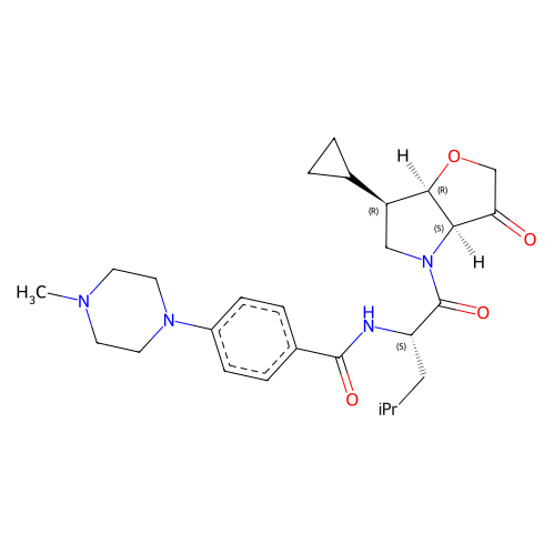 CC(C)C[C@H](NC(=O)c1ccc(N2CCN(C)CC2)cc1)C(=O)N1C[C@@H](C2CC2)[C@H]2OCC(=O)[C@H]21